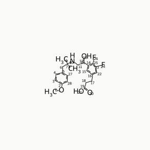 COc1ccc(CC(C)(C)NC[C@@H](O)c2cc(CCC(=O)O)cc(F)c2F)cc1